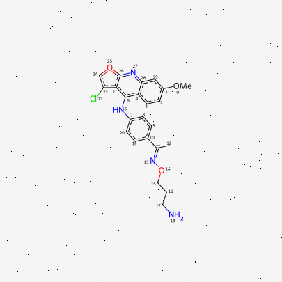 COc1ccc2c(Nc3ccc(/C(C)=N/OCCCN)cc3)c3c(Cl)coc3nc2c1